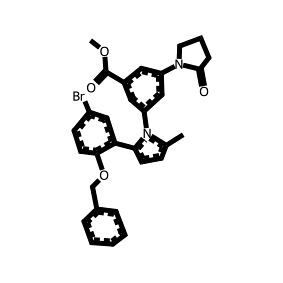 COC(=O)c1cc(N2CCCC2=O)cc(-n2c(C)ccc2-c2cc(Br)ccc2OCc2ccccc2)c1